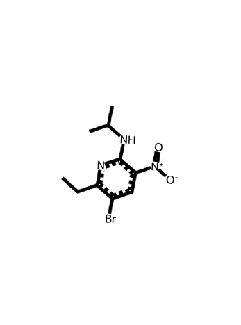 CCc1nc(NC(C)C)c([N+](=O)[O-])cc1Br